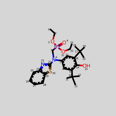 CCOP(=O)(CN(c1cc(C(C)(C)C)c(O)c(C(C)(C)C)c1)c1nc2ccccc2s1)OCC